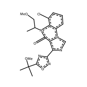 COCC(C)n1c(=O)c2c(-c3noc(C(C)(C)OC)n3)ncn2c2cccc(Cl)c21